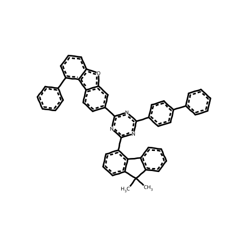 CC1(C)c2ccccc2-c2c(-c3nc(-c4ccc(-c5ccccc5)cc4)nc(-c4ccc5c(c4)oc4cccc(-c6ccccc6)c45)n3)cccc21